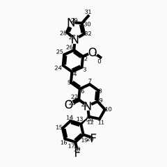 COc1cc(C=C2CC=C3CC[C@@H](c4cccc(F)c4F)N3C2=O)ccc1-n1cnc(C)c1